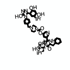 CC(C)C[C@H](NC(=O)C(Cc1ccccc1)NC(=O)c1cncc(OC(=O)N2CCN(Cc3ccc(-n4c(O)nnc4-c4cc(C(C)C)c(O)cc4O)cc3)CC2)c1)B(O)O